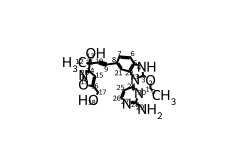 CCOC1Nc2ccc(C#CC(C)(O)c3cc(CO)on3)cc2N1c1ccnc(N)n1